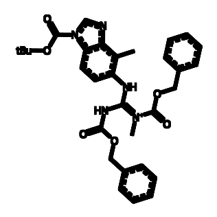 Cc1c(NC(NC(=O)OCc2ccccc2)=[N+](C)C(=O)OCc2ccccc2)ccc2c1ncn2C(=O)OC(C)(C)C